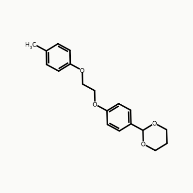 Cc1ccc(OCCOc2ccc(C3OCCCO3)cc2)cc1